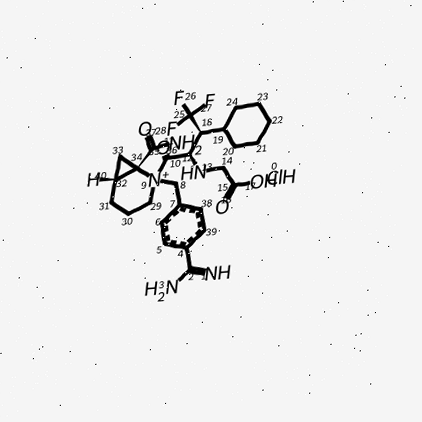 Cl.N=C(N)c1ccc(C[N+]2(C(=O)[C@H](NCC(=O)O)[C@H](C3CCCCC3)C(F)(F)F)CCC[C@@H]3C[C@@]32C(N)=O)cc1